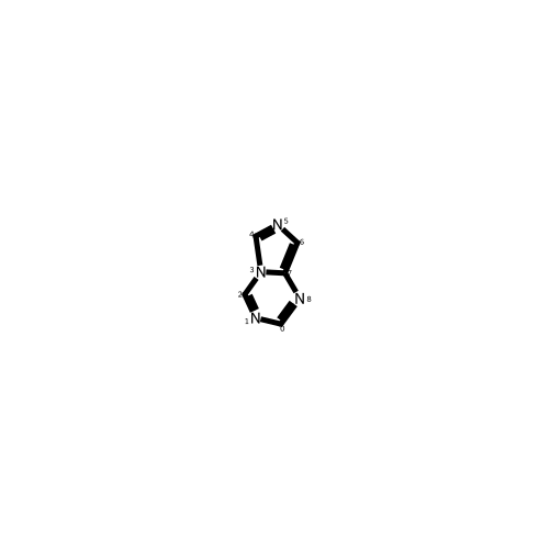 c1ncn2cncc2n1